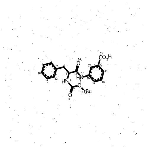 CC(C)(C)OC(=O)NC(Cc1ccccc1)C(=O)Nc1cccc(C(=O)O)c1